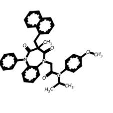 COc1ccc(N(C(=O)CN2C(=O)C(C)(Cc3cccc4ccccc34)C(=O)N(c3ccccc3)c3ccccc32)C(C)C)cc1